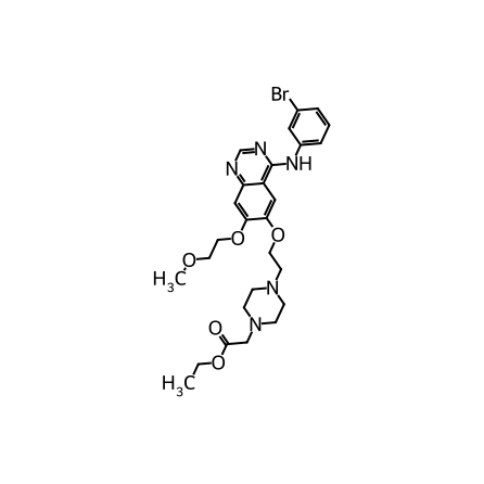 CCOC(=O)CN1CCN(CCOc2cc3c(Nc4cccc(Br)c4)ncnc3cc2OCCOC)CC1